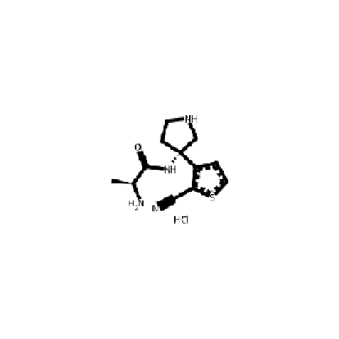 C[C@H](N)C(=O)N[C@]1(c2ccsc2C#N)CCNC1.Cl